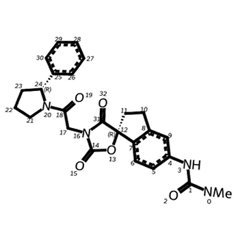 CNC(=O)Nc1ccc2c(c1)CC[C@@]21OC(=O)N(CC(=O)N2CCC[C@@H]2c2ccccc2)C1=O